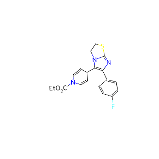 CCOC(=O)N1C=CC(c2c(-c3ccc(F)cc3)nc3n2CCS3)C=C1